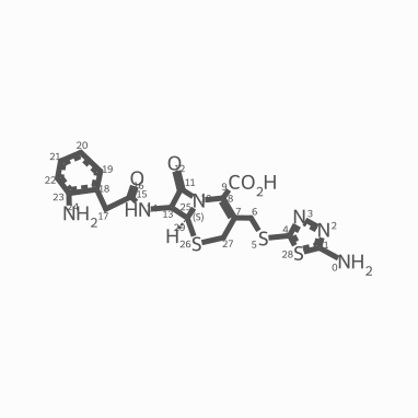 Nc1nnc(SCC2=C(C(=O)O)N3C(=O)C(NC(=O)Cc4ccccc4N)[C@@H]3SC2)s1